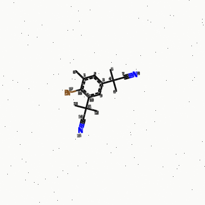 Cc1cc(C(C)(C)C#N)cc(C(C)(C)C#N)c1Br